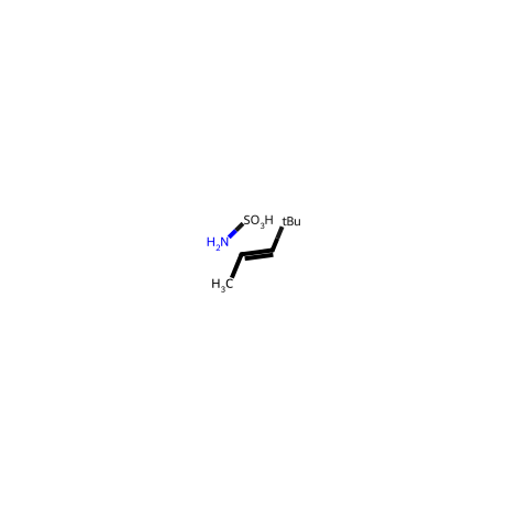 CC=CC(C)(C)C.NS(=O)(=O)O